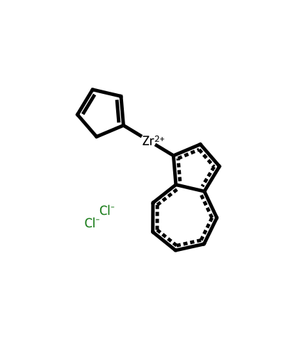 C1=CC[C]([Zr+2][c]2ccc3cccccc2-3)=C1.[Cl-].[Cl-]